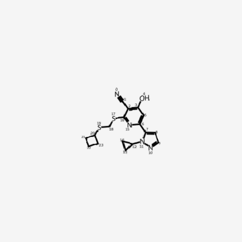 N#Cc1c(O)cc(-c2ccnn2C2CC2)nc1SCSC1CCC1